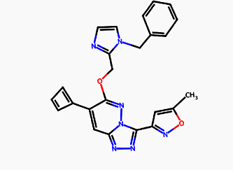 Cc1cc(-c2nnc3cc(C4=CC=C4)c(OCc4nccn4Cc4ccccc4)nn23)no1